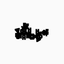 C[C@@H](OC[C@H](NC(=O)c1nonc1C1CC1)c1nc2ccc([C@H](NC(=O)CC3CC(F)(F)C3)C3CC3)cc2[nH]1)C(F)(F)F